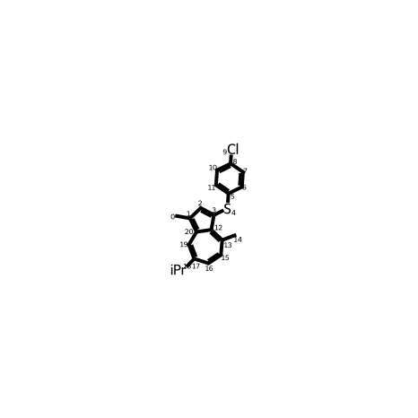 Cc1cc(Sc2ccc(Cl)cc2)c2c(C)ccc(C(C)C)cc1-2